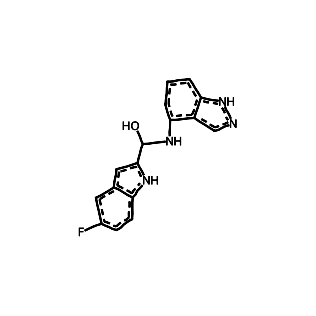 OC(Nc1cccc2[nH]ncc12)c1cc2cc(F)ccc2[nH]1